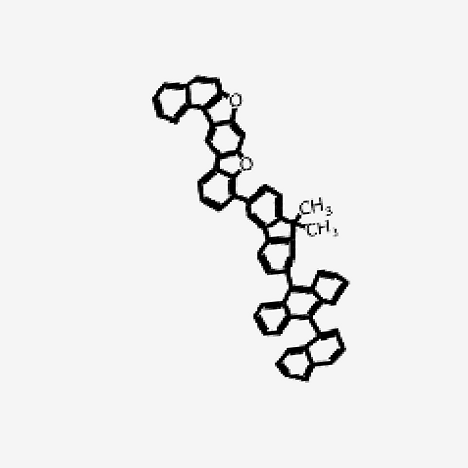 CC1(C)c2ccc(-c3cccc4c3oc3cc5oc6ccc7ccccc7c6c5cc34)cc2-c2ccc(-c3c4ccccc4c(-c4cccc5ccccc45)c4ccccc34)cc21